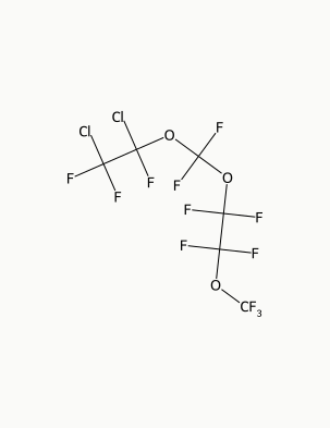 FC(F)(F)OC(F)(F)C(F)(F)OC(F)(F)OC(F)(Cl)C(F)(F)Cl